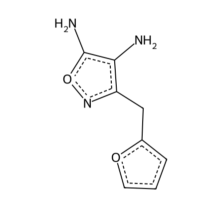 Nc1onc(Cc2ccco2)c1N